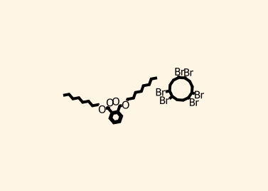 BrC1CCC(Br)C(Br)CCC(Br)C(Br)CCC1Br.CCCCCCCCOC(=O)c1ccccc1C(=O)OCCCCCCCC